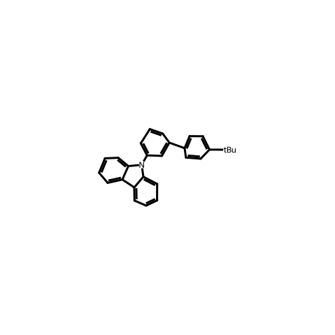 CC(C)(C)c1ccc(-c2cccc(-n3c4ccccc4c4ccccc43)c2)cc1